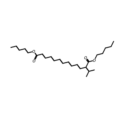 CCCCCOC(=O)CCCCCCCCCCC(C(=O)OCCCCC)C(C)C